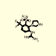 N=C(N)Nc1ccc(C(F)(F)F)c(S(N)(=O)=O)c1N1CCNC1